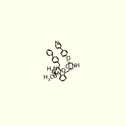 COC(=O)N(C(=O)[C@@H](N)Cc1ccc(-c2ccccc2)cc1)c1ccccc1CC[C@@H]1CNC[C@@H](COc2ccc(-c3ccncc3)cc2)O1